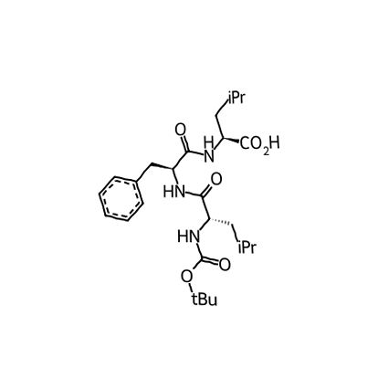 CC(C)C[C@H](NC(=O)[C@H](Cc1ccccc1)NC(=O)[C@H](CC(C)C)NC(=O)OC(C)(C)C)C(=O)O